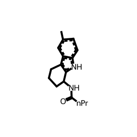 CCCC(=O)NC1CCCc2c1[nH]c1ccc(C)cc21